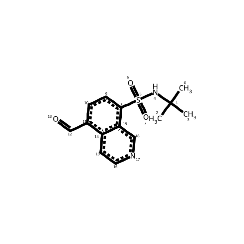 CC(C)(C)NS(=O)(=O)c1ccc(C=O)c2ccncc12